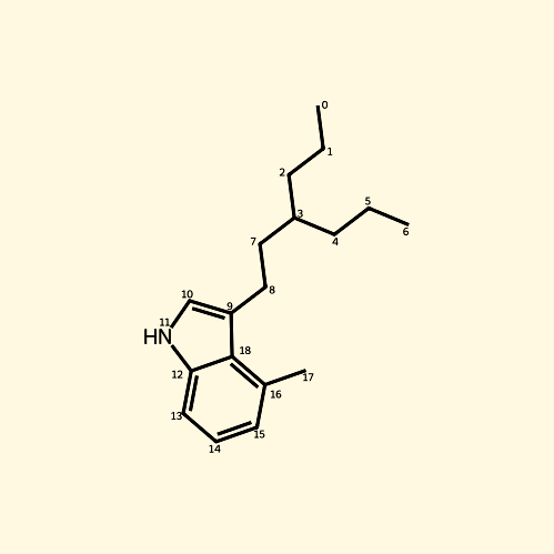 CCCC(CCC)CCc1c[nH]c2cccc(C)c12